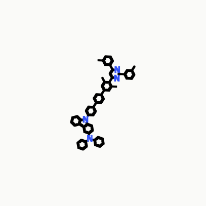 Cc1cccc(-c2cc(-c3c(C)cc(-c4ccc(-c5ccc(-n6c7ccccc7c7cc(N(c8ccccc8)c8ccccc8)ccc76)cc5)cc4)cc3C)nc(-c3cccc(C)c3)n2)c1